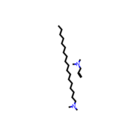 C=CCN(C)C.CCCCCCCCCCCCCCCCCCN(C)C